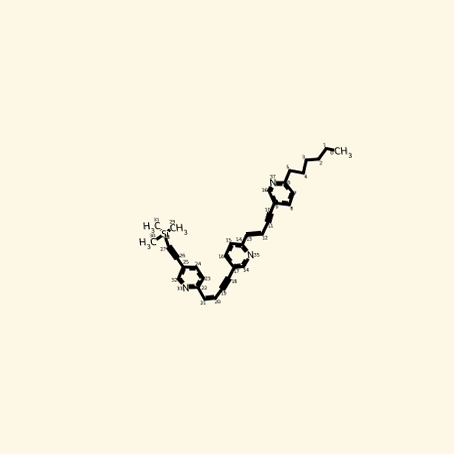 CCCCCCc1ccc(C#C/C=C/c2ccc(C#C/C=C\c3ccc(C#C[Si](C)(C)C)cn3)cn2)cn1